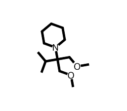 COCC(COC)(C(C)C)N1CCCCC1